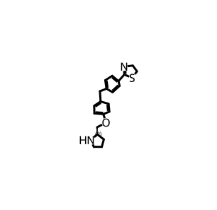 c1cc(OC[C@H]2CCCN2)ccc1Cc1ccc(C2=NCCS2)cc1